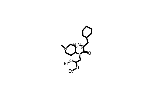 CCOC(CN(C(=O)[C@@H](N)CC1CCCCC1)C1CCN(C)CC1)OCC